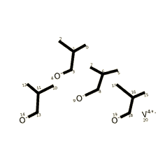 CC(C)C[O-].CC(C)C[O-].CC(C)C[O-].CC(C)C[O-].[V+4]